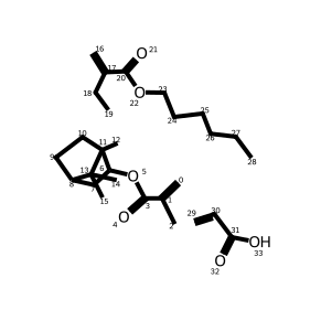 C=C(C)C(=O)OC1CC2CCC1(C)C2(C)C.C=C(CC)C(=O)OCCCCCC.C=CC(=O)O